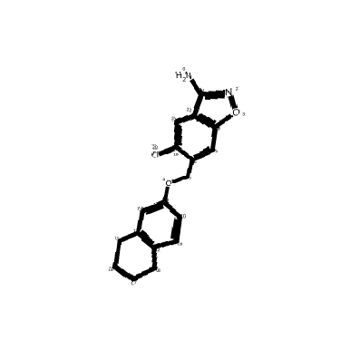 Nc1noc2cc(COc3ccc4c(c3)CCCC4)c(Cl)cc12